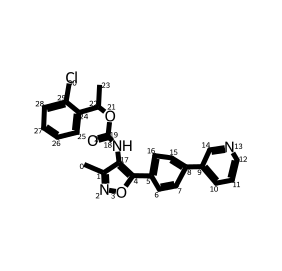 Cc1noc(-c2ccc(-c3cccnc3)cc2)c1NC(=O)OC(C)c1ccccc1Cl